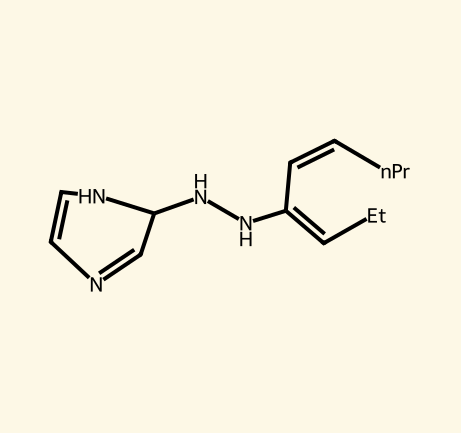 CC/C=C(\C=C/CCC)NNC1C=NC=CN1